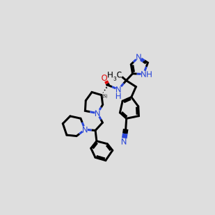 CC(Cc1ccc(C#N)cc1)(NC(=O)[C@H]1CCCN(CC(c2ccccc2)N2CCCCC2)C1)c1cnc[nH]1